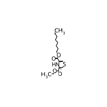 CCCCCCCCOC(=O)C1=CSC[C@@H](C(=O)OCC)N1